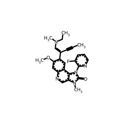 CC#C/C(=C\N(C)CC)c1cc2c(cc1OC)ncc1c2n(-c2ncccc2F)c(=O)n1C